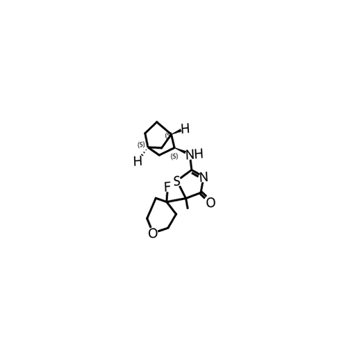 CC1(C2(F)CCOCC2)SC(N[C@H]2C[C@H]3CC[C@H]2C3)=NC1=O